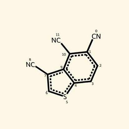 N#Cc1ccc2s[c]c(C#N)c2c1C#N